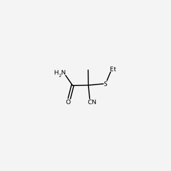 CCSC(C)(C#N)C(N)=O